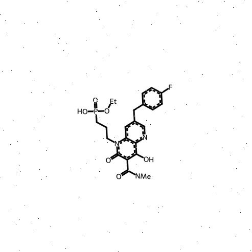 CCOP(=O)(O)CCCn1c(=O)c(C(=O)NC)c(O)c2ncc(Cc3ccc(F)cc3)cc21